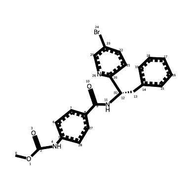 COC(=O)Nc1ccc(C(=O)N[C@@H](Cc2ccccc2)c2ccc(Br)cn2)cc1